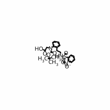 CC(C)(C)OC(=O)N(CC(=O)O)c1ccccc1CCNS(=O)(=O)c1ccccc1[N+](=O)[O-]